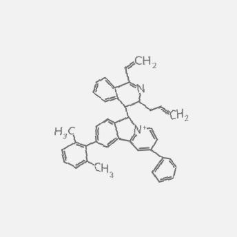 C=CCC1N=C(C=C)c2ccccc2C1C1c2ccc(-c3c(C)cccc3C)cc2-c2cc(-c3ccccc3)cc[n+]21